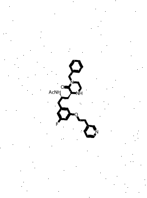 CC(=O)N[C@@H](Cc1cc(F)cc(OCCc2cccnc2)c1)C[C@@H]1NCCN(Cc2ccccc2)C1=O